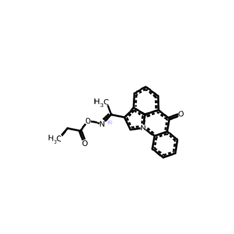 CCC(=O)O/N=C(\C)c1cn2c3ccccc3c(=O)c3cccc1c32